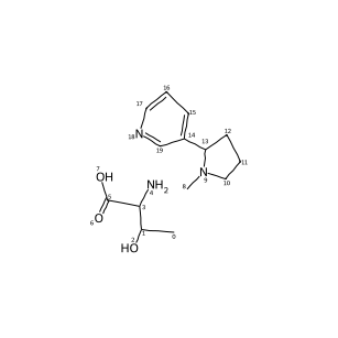 CC(O)C(N)C(=O)O.CN1CCCC1c1cccnc1